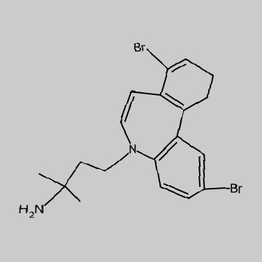 CC(C)(N)CCN1C=CC2=C(CCC=C2Br)c2cc(Br)ccc21